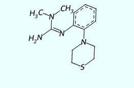 CN(C)C(N)=Nc1ccccc1N1CCSCC1